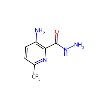 NNC(=O)c1nc(C(F)(F)F)ccc1N